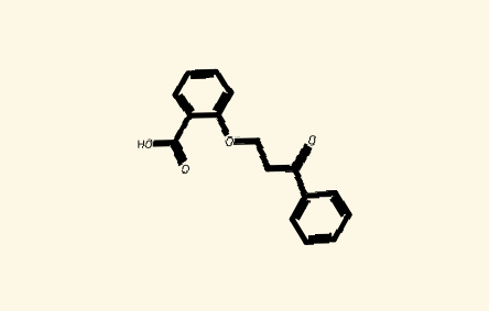 O=C(CCOc1ccccc1C(=O)O)c1ccccc1